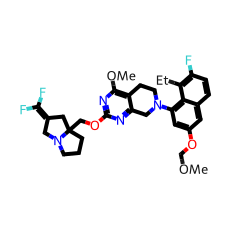 CCc1c(F)ccc2cc(OCOC)cc(N3CCc4c(nc(OCC56CCCN5CC(=C(F)F)C6)nc4OC)C3)c12